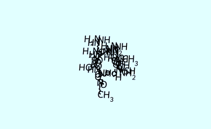 CC(C)C[C@H](NC(=O)[C@@H](Cc1ccccc1)NC(=O)C(N)CS)C(=O)NC(CCCNC(=N)N)C(=O)O.CCCCCCN1C[C@H](C(=O)[C@H](Cc2ccccc2)NC(=O)CNC(=O)[C@@H]2C[C@H](O)CN2C(=O)[C@@H]2CCCN2C(=O)[C@H](CCCNC(=N)N)NC(=O)[C@H](N)CCCNC(=N)N)CC1=O